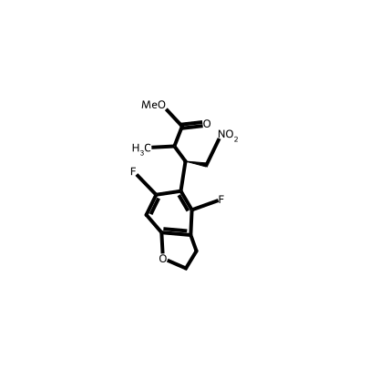 COC(=O)C(C)[C@@H](C[N+](=O)[O-])c1c(F)cc2c(c1F)CCO2